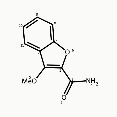 COc1c(C(N)=O)oc2ccccc12